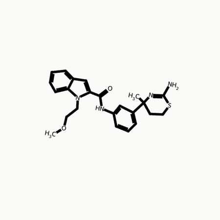 COCCn1c(C(=O)Nc2cccc(C3(C)CCSC(N)=N3)c2)cc2ccccc21